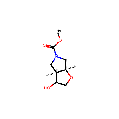 CC(C)(C)OC(=O)N1C[C@@H]2C(O)CO[C@@H]2C1